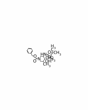 C[C@H]1CN(C(=O)OCc2ccccc2)C[C@@H](NC(=O)OC(C)(C)C)[C@@]1(C)O